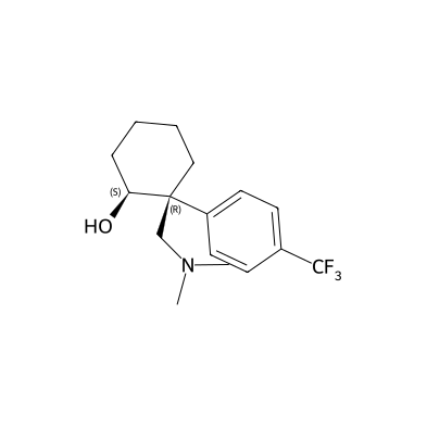 CN(C)C[C@]1(c2ccc(C(F)(F)F)cc2)CCCC[C@@H]1O